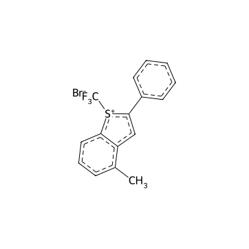 Cc1cccc2c1cc(-c1ccccc1)[s+]2C(F)(F)F.[Br-]